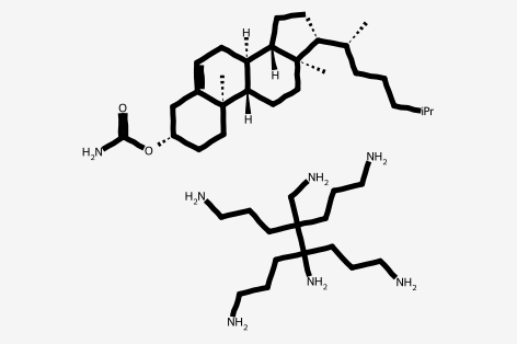 CC(C)CCC[C@@H](C)[C@H]1CC[C@H]2[C@@H]3CC=C4C[C@@H](OC(N)=O)CC[C@]4(C)[C@H]3CC[C@]12C.NCCCC(N)(CCCN)C(CN)(CCCN)CCCN